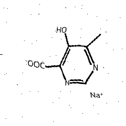 Cc1ncnc(C(=O)[O-])c1O.[Na+]